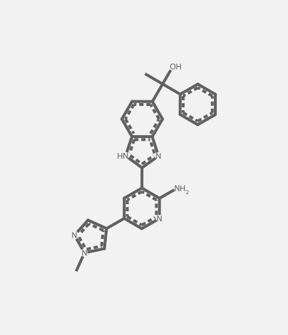 Cn1cc(-c2cnc(N)c(-c3nc4cc(C(C)(O)c5ccccc5)ccc4[nH]3)c2)cn1